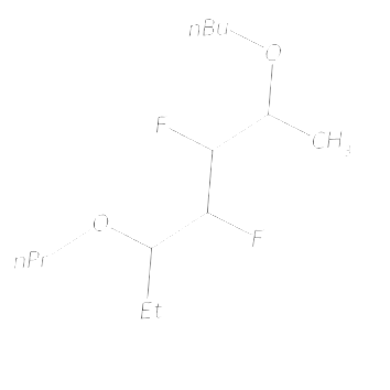 CCCCOC(C)C(F)C(F)C(CC)OCCC